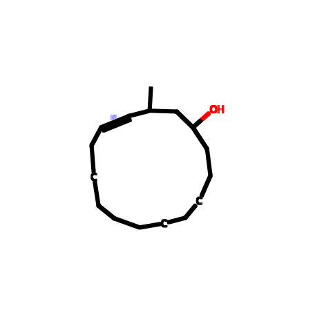 CC1/C=C\CCCCCCCCCCC(O)C1